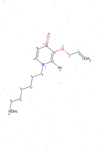 C=CCOc1c(C(C)=O)n(CCCCCCCCCCCCCCCC)ccc1=O